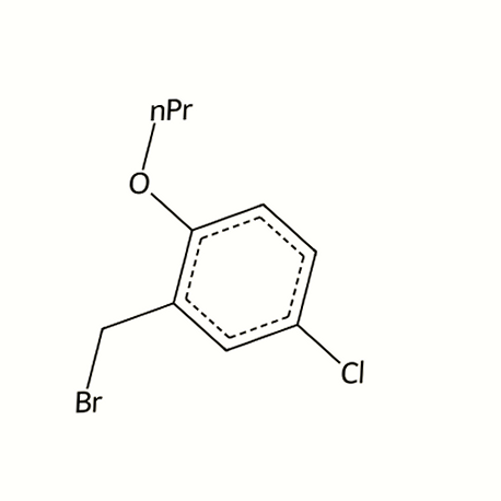 CCCOc1ccc(Cl)cc1CBr